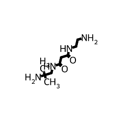 CC(C)(N)CNC(=O)CC(=O)NCCN